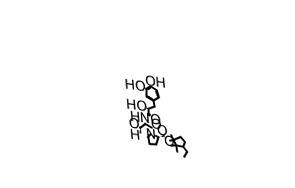 CCC1CCC(C)(OC(=O)[C@@H]2CCCN2C(=O)[C@@H](NC(=O)[C@H](O)Cc2ccc(O)c(O)c2)[C@@H](C)O)C1(C)C